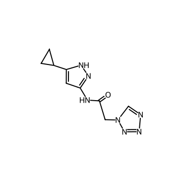 O=C(Cn1cnnn1)Nc1cc(C2CC2)[nH]n1